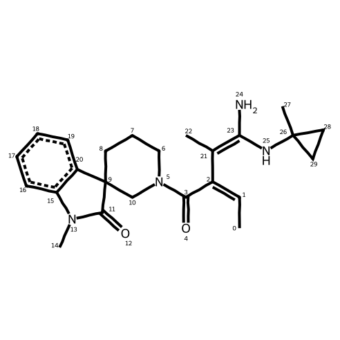 C/C=C(C(=O)N1CCCC2(C1)C(=O)N(C)c1ccccc12)/C(C)=C(/N)NC1(C)CC1